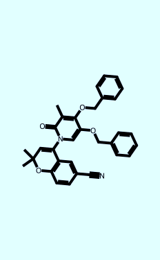 Cc1c(OCc2ccccc2)c(OCc2ccccc2)cn(C2=CC(C)(C)Oc3ccc(C#N)cc32)c1=O